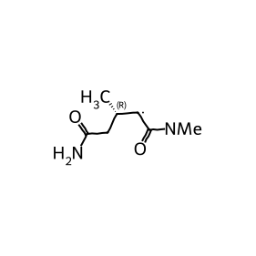 CNC(=O)[CH][C@@H](C)CC(N)=O